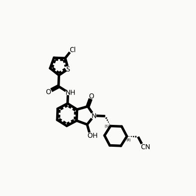 N#CC[C@@H]1CCC[C@H](CN2C(=O)c3c(NC(=O)c4ccc(Cl)s4)cccc3C2O)C1